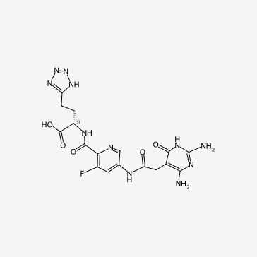 Nc1nc(N)c(CC(=O)Nc2cnc(C(=O)N[C@@H](CCc3nnn[nH]3)C(=O)O)c(F)c2)c(=O)[nH]1